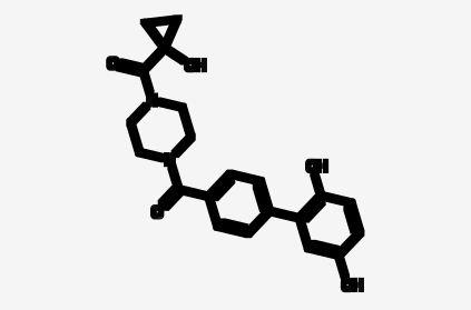 O=C(c1ccc(-c2cc(O)ccc2O)cc1)N1CCN(C(=O)C2(O)CC2)CC1